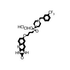 Cl.Cl.O=c1[nH]c2cc3cc(OCCCS(=O)(=O)N4CCN(Cc5cccc(C(F)(F)F)c5)CC4)ccc3nc2[nH]1